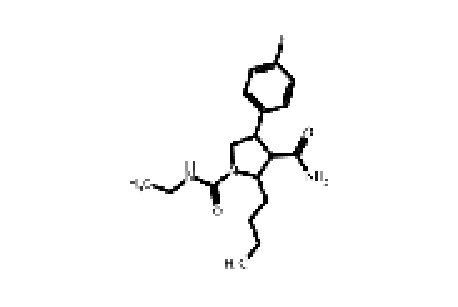 CCCCC1C(C(N)=O)C(c2ccc(F)cc2)CN1C(=O)NCC